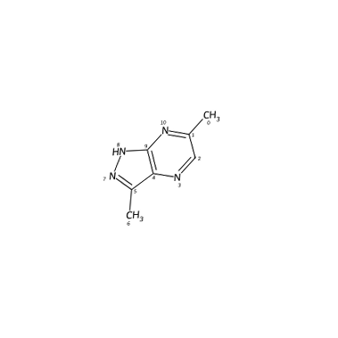 Cc1cnc2c(C)n[nH]c2n1